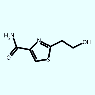 NC(=O)c1csc(CCO)n1